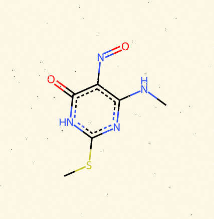 CNc1nc(SC)[nH]c(=O)c1N=O